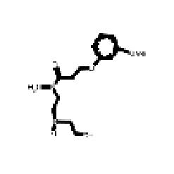 CCN(CCO)CCN(C)C(=O)CCOc1cccc(OC)c1